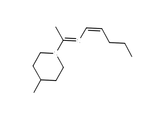 CCC/C=C\N=C(/C)N1CCC(C)CC1